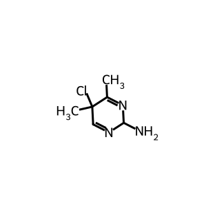 CC1=NC(N)N=CC1(C)Cl